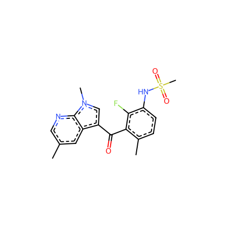 Cc1cnc2c(c1)c(C(=O)c1c(C)ccc(NS(C)(=O)=O)c1F)cn2C